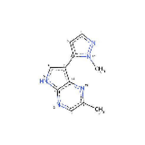 Cc1cnc2[nH]cc(-c3ccnn3C)c2n1